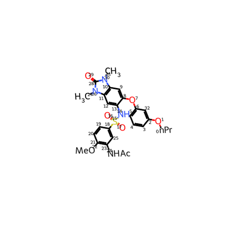 CCCOc1cccc(Oc2cc3c(cc2NS(=O)(=O)c2ccc(OC)c(NC(C)=O)c2)n(C)c(=O)n3C)c1